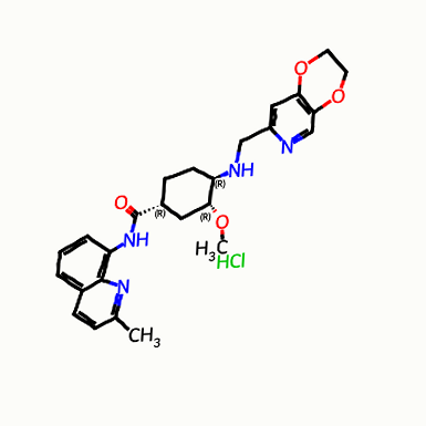 CO[C@@H]1C[C@H](C(=O)Nc2cccc3ccc(C)nc23)CC[C@H]1NCc1cc2c(cn1)OCCO2.Cl